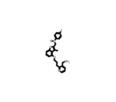 Cc1c(C[S+]([O-])c2ccc(F)cc2)oc2cccc(OCCCc3ncccc3CN)c12